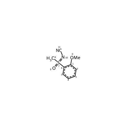 COc1ccccc1S(C)(=O)=NC#N